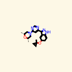 C[C@@H]1CN(c2cc(-c3n[nH]c4c3=CC(OC3(C)CC3)CC=4)ncn2)C[C@H](C)O1